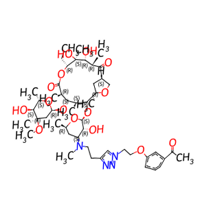 CC[C@H]1OC(=O)[C@H](C)[C@@H](O[C@H]2C[C@@](C)(OC)[C@@H](O)[C@H](C)O2)[C@H](C)[C@@H](O[C@@H]2O[C@H](C)C[C@H](N(C)CCc3cn(CCOc4cccc(C(C)=O)c4)nn3)[C@H]2O)[C@@]2(C)C[C@@H](CO2)C(=O)[C@H](C)[C@@H](O)[C@]1(C)O